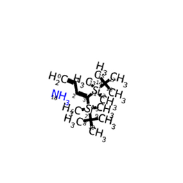 C=CC=C([Si](C)(C)C(C)(C)C)[Si](C)(C)C(C)(C)C.N